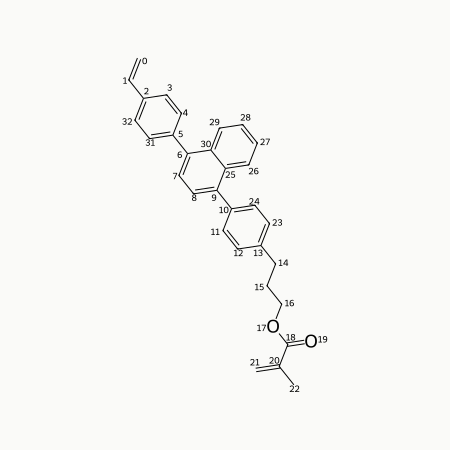 C=Cc1ccc(-c2ccc(-c3ccc(CCCOC(=O)C(=C)C)cc3)c3ccccc23)cc1